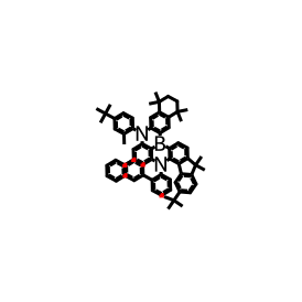 Cc1cc(C(C)(C)C)ccc1N1c2cc3c(cc2B2c4ccc5c(c4N(c4ccccc4-c4ccccc4)c4cc(-c6ccccc6)cc1c42)-c1cc(C(C)(C)C)ccc1C5(C)C)C(C)(C)CCC3(C)C